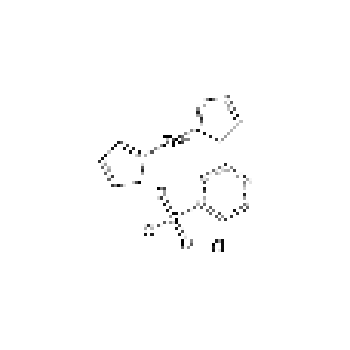 C1=CC[C]([Zr+2][C]2=CC=CC2)=C1.O=S(=O)([O-])c1ccccc1.[Cl-]